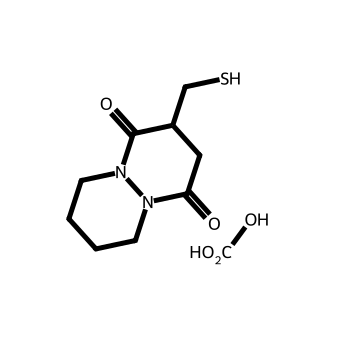 O=C(O)O.O=C1CC(CS)C(=O)N2CCCCN12